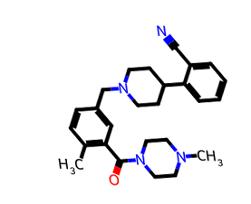 Cc1ccc(CN2CCC(c3ccccc3C#N)CC2)cc1C(=O)N1CCN(C)CC1